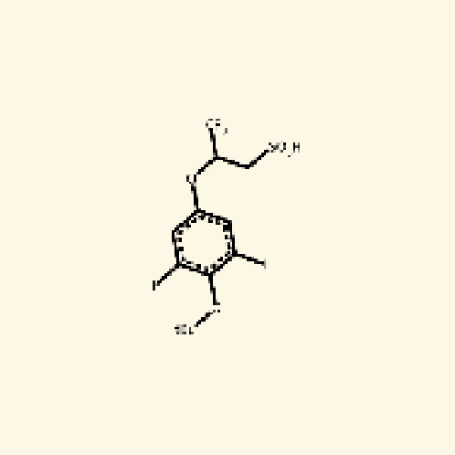 CC(C)(C)Oc1c(I)cc(OC(CS(=O)(=O)O)C(F)(F)F)cc1I